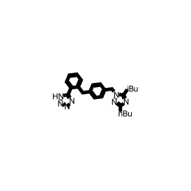 CCCCc1nc(C(C)CC)n(Cc2ccc(Cc3ccccc3-c3nnn[nH]3)cc2)n1